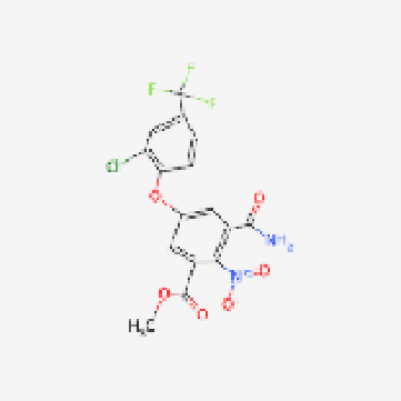 COC(=O)c1cc(Oc2ccc(C(F)(F)F)cc2Cl)cc(C(N)=O)c1[N+](=O)[O-]